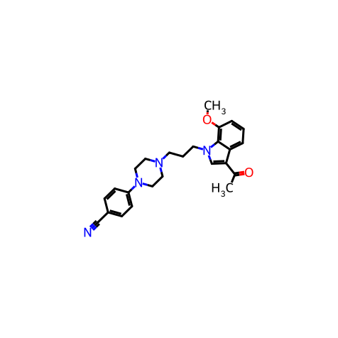 COc1cccc2c(C(C)=O)cn(CCCN3CCN(c4ccc(C#N)cc4)CC3)c12